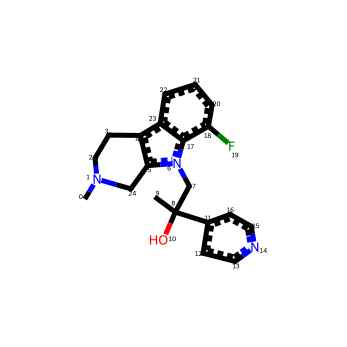 CN1CCc2c(n(CC(C)(O)c3ccncc3)c3c(F)cccc23)C1